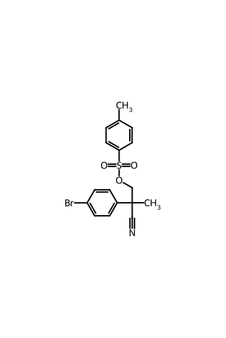 Cc1ccc(S(=O)(=O)OCC(C)(C#N)c2ccc(Br)cc2)cc1